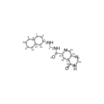 O=C(NCNc1ccc2ccccc2c1)c1cc2c(=O)[nH]cnc2cn1